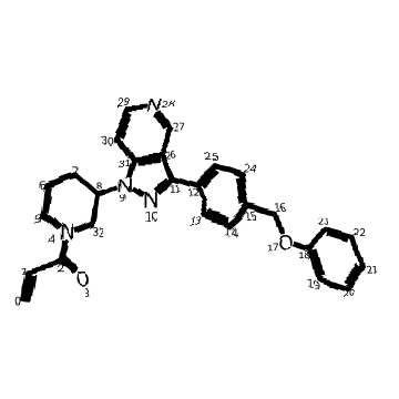 C=CC(=O)N1CCCC(n2nc(-c3ccc(COc4ccccc4)cc3)c3cnccc32)C1